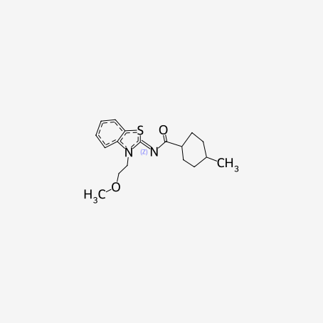 COCCn1/c(=N/C(=O)C2CCC(C)CC2)sc2ccccc21